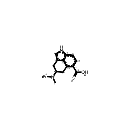 CC(C)N(C)C1Cc2c[nH]c3ccc(C(O)=S)c(c23)C1